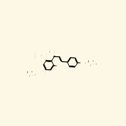 COc1ccc(-c2cc(=O)c3c(O)cc(OC)cc3o2)cc1